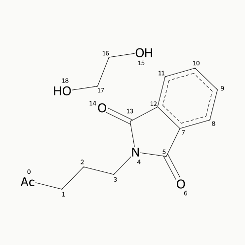 CC(=O)CCCN1C(=O)c2ccccc2C1=O.OCCO